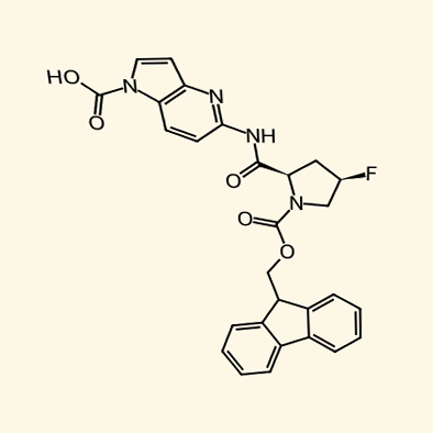 O=C(Nc1ccc2c(ccn2C(=O)O)n1)[C@H]1C[C@@H](F)CN1C(=O)OCC1c2ccccc2-c2ccccc21